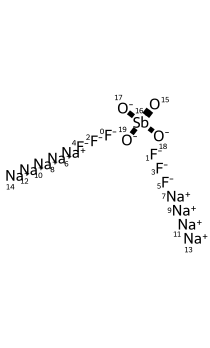 [F-].[F-].[F-].[F-].[F-].[F-].[Na+].[Na+].[Na+].[Na+].[Na+].[Na+].[Na+].[Na+].[Na+].[O]=[Sb]([O-])([O-])[O-]